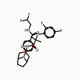 CC(C)(Oc1ccc(F)cc1F)C(=O)NC1CC2CCC(C1)N2c1ccc(C(=O)NCC(F)F)cn1